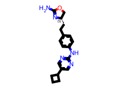 NC1=N[C@@H](CCc2ccc(Nc3ncc(C4CCC4)cn3)cc2)CO1